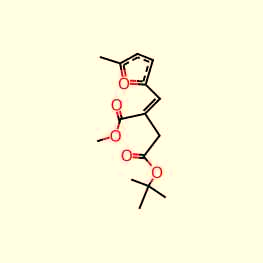 COC(=O)C(=Cc1ccc(C)o1)CC(=O)OC(C)(C)C